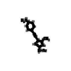 CC(=O)Nc1nc(C)c(C#Cc2ccc(N)cc2)s1